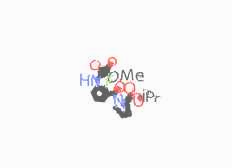 COc1c(Nc2cccc(C(=O)N3CCCC3C(=O)OC(C)C)c2F)c(=O)c1=O